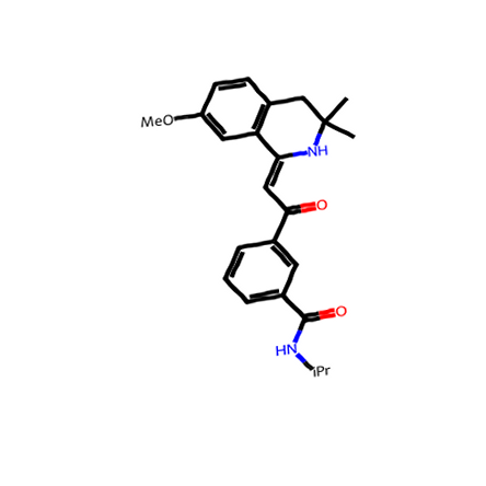 COc1ccc2c(c1)/C(=C/C(=O)c1cccc(C(=O)NC(C)C)c1)NC(C)(C)C2